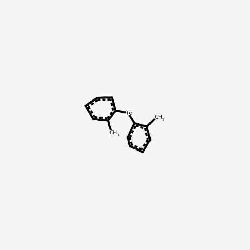 Cc1ccccc1[Te]c1ccccc1C